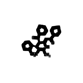 CC1=C([N+](=O)[O-])[C@H](c2ccccc2C(F)(F)F)[C@@H](C(=O)c2ccccc2)/C(=C/C(=O)c2ccccc2)N1